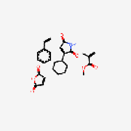 C=C(C)C(=O)OC.C=Cc1ccccc1.O=C1C=C(C2CCCCC2)C(=O)N1.O=C1C=CC(=O)O1